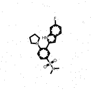 CN(C)S(=O)(=O)c1ccc(N2CCCC2)c(-c2cc3ccc(F)cc3[nH]2)c1